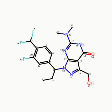 CCC(c1ccc(C(F)F)c(F)c1)n1nc(CO)c2c(=O)[nH]c(N(C)C)nc21